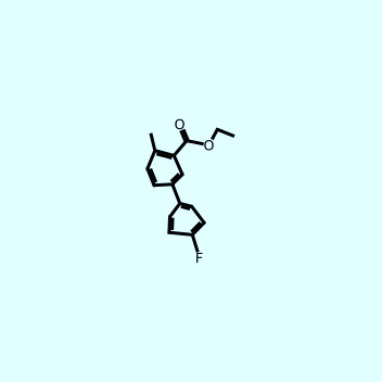 CCOC(=O)c1cc(-c2ccc(F)cc2)ccc1C